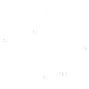 CC(=O)c1ccccc1N1C=CSC1c1ccncc1.CC(N)=O